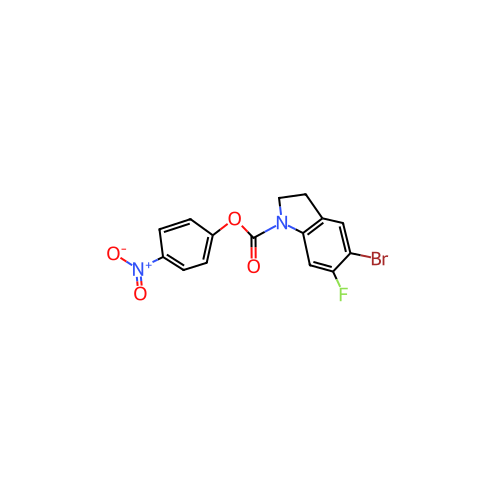 O=C(Oc1ccc([N+](=O)[O-])cc1)N1CCc2cc(Br)c(F)cc21